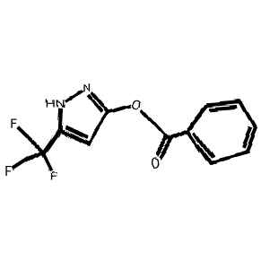 O=C(Oc1cc(C(F)(F)F)[nH]n1)c1ccccc1